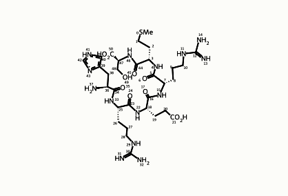 CSCC[C@H](NC(=O)[C@H](CCCNC(=N)N)NC(=O)[C@H](CCC(=O)O)NC(=O)[C@H](CCCNC(=N)N)NC(=O)[C@@H](N)Cc1c[nH]cn1)C(=O)N[C@@H](CO)C(=O)O